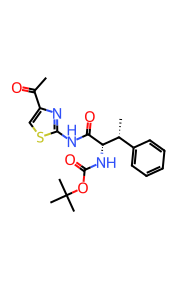 CC(=O)c1csc(NC(=O)[C@@H](NC(=O)OC(C)(C)C)[C@H](C)c2ccccc2)n1